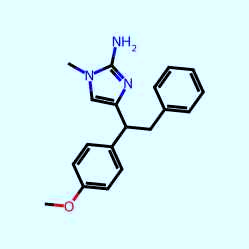 COc1ccc(C(Cc2ccccc2)c2cn(C)c(N)n2)cc1